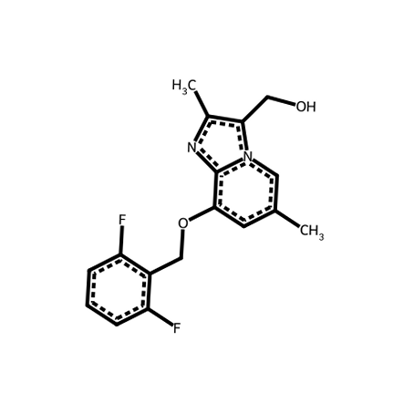 Cc1cc(OCc2c(F)cccc2F)c2nc(C)c(CO)n2c1